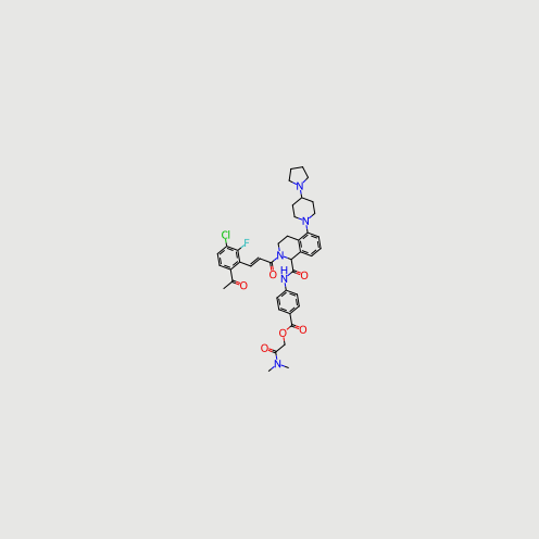 CC(=O)c1ccc(Cl)c(F)c1/C=C/C(=O)N1CCc2c(cccc2N2CCC(N3CCCC3)CC2)C1C(=O)Nc1ccc(C(=O)OCC(=O)N(C)C)cc1